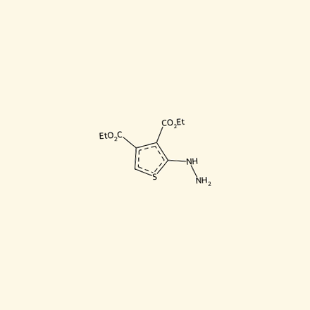 CCOC(=O)c1csc(NN)c1C(=O)OCC